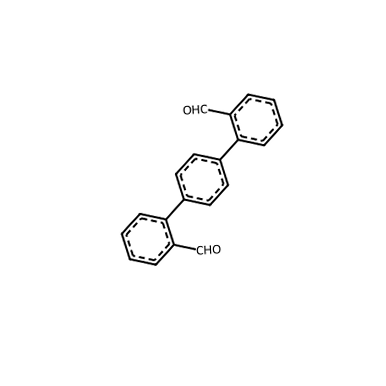 O=Cc1ccccc1-c1ccc(-c2ccccc2C=O)cc1